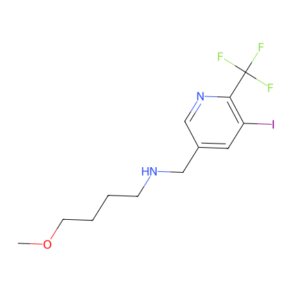 COCCCCNCc1cnc(C(F)(F)F)c(I)c1